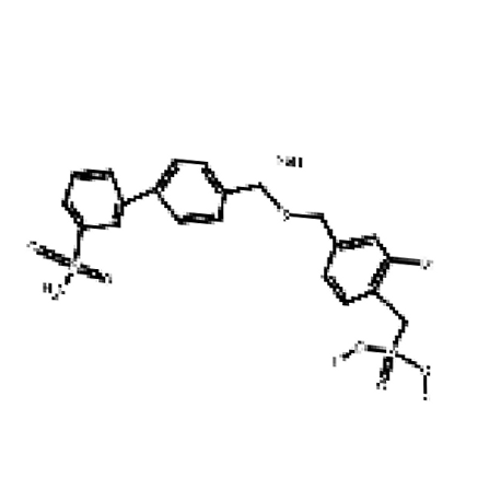 NS(=O)(=O)c1cccc(-c2ccc(CSCc3ccc(CP(=O)(OF)OF)c(Br)c3)cc2)c1.[NaH]